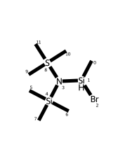 C[SiH](Br)N([Si](C)(C)C)S(C)(C)C